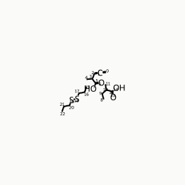 C=C=CC(C)C(=O)O.CCC(C)C(=O)O.CCCSSCCC